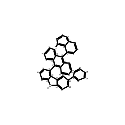 Cc1cccc2cccc(-c3c4ccccc4c(-c4cccc5oc6ccc(-c7ccccc7)cc6c45)c4ccccc34)c12